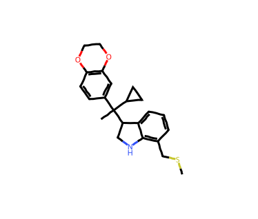 CSCc1cccc2c1NCC2C(C)(c1ccc2c(c1)OCCO2)C1CC1